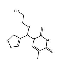 Cc1cn(C(OCCO)C2=CCCC2)c(=O)[nH]c1=O